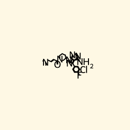 CN(C)C/C=C/C(=O)N1CCCC(n2nc(-c3ccc(F)c(Cl)c3)c3c(N)ncnc32)C1